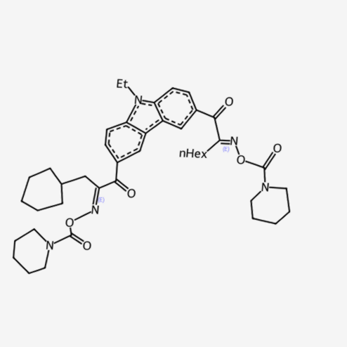 CCCCCC/C(=N\OC(=O)N1CCCCC1)C(=O)c1ccc2c(c1)c1cc(C(=O)/C(CC3CCCCC3)=N/OC(=O)N3CCCCC3)ccc1n2CC